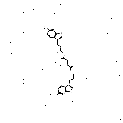 COc1ccc2c(CC[C@H](N)OC(=O)/C=C/C(=O)O[C@@H](N)CCc3c[nH]c4cc(OC)ccc34)c[nH]c2c1